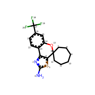 Nc1nc2c(s1)C1(CCCCCC1)Oc1cc(C(F)(F)F)ccc1-2